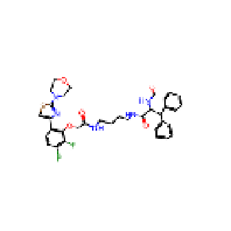 O=CNC(C(=O)NCCCCNC(=O)COc1c(-c2csc(N3CCOCC3)n2)ccc(F)c1F)C(c1ccccc1)c1ccccc1